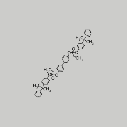 C=CP(=O)(Oc1ccc(-c2ccc(OP(=O)(C=C)Oc3ccc(C(C)(C)c4ccccc4)cc3)cc2)cc1)Oc1ccc(C(C)(C)c2ccccc2)cc1